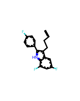 C=CCCc1c(-c2ccc(F)cc2)[nH]c2c(F)cc(F)cc12